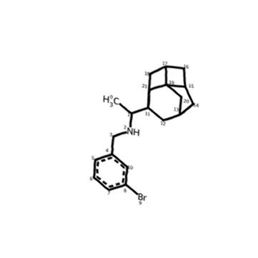 CC(NCc1cccc(Br)c1)C12CC3CC4CC(C1)C4(C3)C2